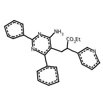 CCOC(=O)C(Cc1c(N)nc(-c2ccccc2)nc1-c1ccccc1)c1cccnc1